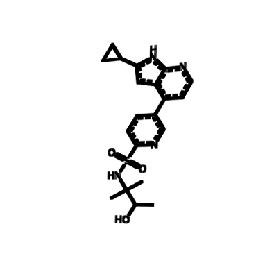 CC(O)C(C)(C)NS(=O)(=O)c1ccc(-c2ccnc3[nH]c(C4CC4)cc23)cn1